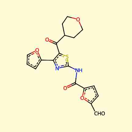 O=Cc1ccc(C(=O)Nc2nc(-c3ccco3)c(C(=O)C3CCOCC3)s2)o1